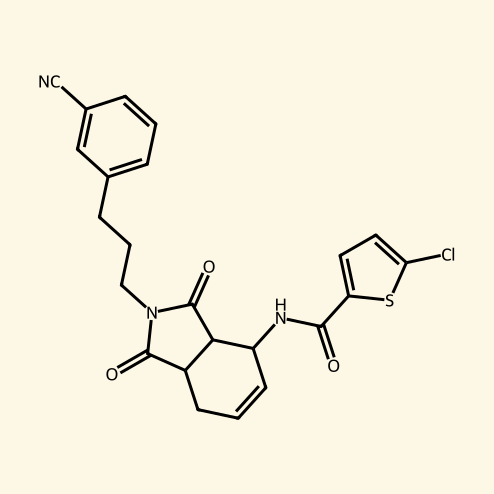 N#Cc1cccc(CCCN2C(=O)C3CC=CC(NC(=O)c4ccc(Cl)s4)C3C2=O)c1